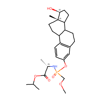 COCP(=O)(N[C@@H](C)C(=O)OC(C)C)Oc1ccc2c(c1)CCC1C2CC[C@@]2(C)C1CC[C@@H]2O